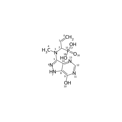 C=CC(N(C)c1n[nH]c2c(O)ncnc12)P(=O)(O)O